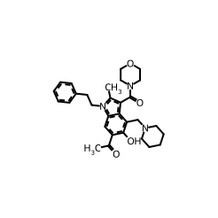 CC(=O)c1cc2c(c(CN3CCCCC3)c1O)c(C(=O)N1CCOCC1)c(C)n2CCc1ccccc1